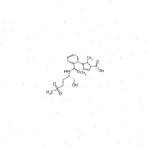 Cc1cc(C(=O)O)c(C)n1-c1ccccc1C(=O)N[C@H](CO)CCS(C)(=O)=O